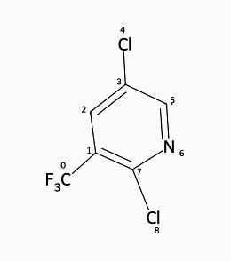 FC(F)(F)c1cc(Cl)[c]nc1Cl